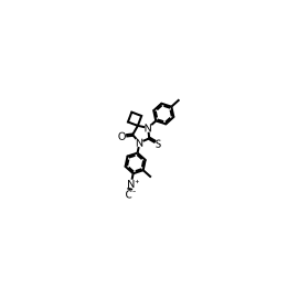 [C-]#[N+]c1ccc(N2C(=O)C3(CCC3)N(c3ccc(C)cc3)C2=S)cc1C